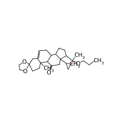 CCCOC(C)(C)C1CCC2C3CC=C4CC5(CCC4(C)C3C(=O)CC21C1CC1)OCCO5